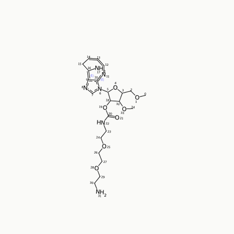 COCC1OC(n2cnc3/c2=N\C=C=CC/C=3N)C(OC(=O)NCCOCCOCCN)C1OC